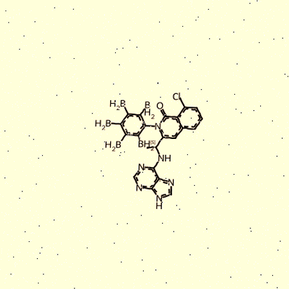 Bc1c(B)c(B)c(-n2c([C@H](C)Nc3ncnc4[nH]cnc34)cc3cccc(Cl)c3c2=O)c(B)c1B